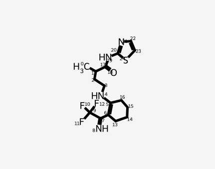 CC(CCNC1=C(C(=N)C(F)(F)F)CCCC1)C(=O)Nc1nccs1